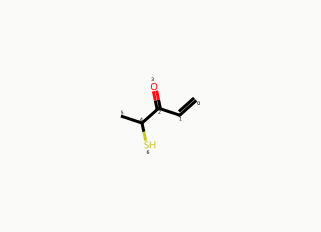 C=CC(=O)C(C)S